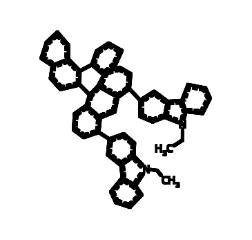 CCn1c2ccccc2c2cc(-c3cccc4c(-c5ccc6ccccc6c5-c5ccccc5)c5cccc(-c6ccc7c(c6)c6ccccc6n7CC)c5cc34)ccc21